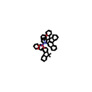 CC1(C)c2ccccc2-c2cc(N(c3ccccc3)c3ccc4c(c3)C3(c5ccccc5-4)c4ccccc4-c4c3c(N(c3ccccc3)c3ccccc3)cc3ccccc43)ccc21